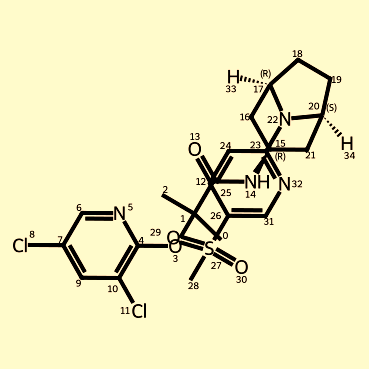 CC(C)(Oc1ncc(Cl)cc1Cl)C(=O)N[C@H]1C[C@H]2CC[C@@H](C1)N2c1ccc(S(C)(=O)=O)cn1